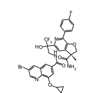 C[C@]1(C(N)=O)COc2c1cc(C(O)(CNC(=O)c1cc(OC3CC3)c3ncc(Br)cc3c1)C(F)(F)F)nc2-c1ccc(F)cc1